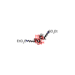 CCOC(=O)/C=C/CCCCCCC(=O)OC1C(CC)OC(OC2C(OC(C)CCCCC/C=C/C(=O)OCC)OC(CC)C(O)C2O)C(O)C1O